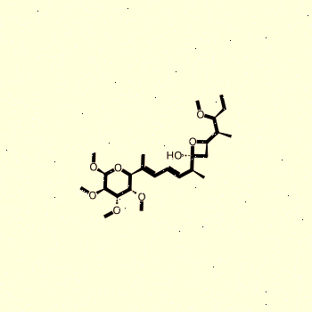 CC[C@H](OC)[C@@H](C)[C@H]1C[C@@](O)([C@@H](C)/C=C/C=C(\C)[C@@H]2O[C@H](OC)[C@H](OC)[C@@H](OC)[C@H]2OC)O1